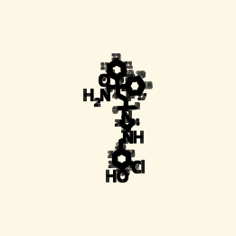 CC(C)(CCC(C(N)=O)(c1ccccc1)c1ccccc1)N1CC(NCc2ccc(O)c(Cl)c2)C1